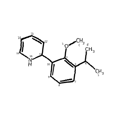 COc1c(C(C)C)cccc1C1C=CC=CN1